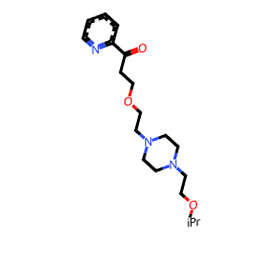 CC(C)OCCN1CCN(CCOCCC(=O)c2ccccn2)CC1